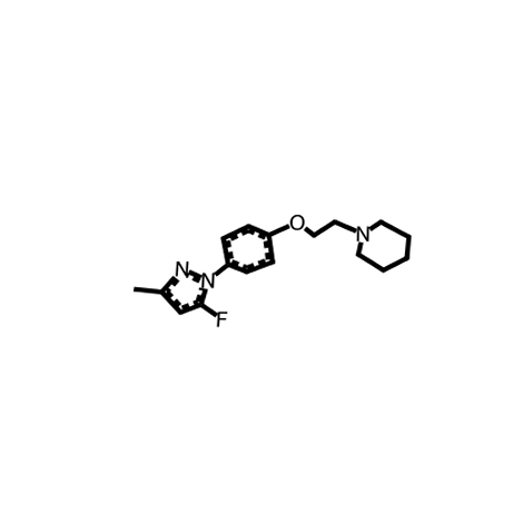 Cc1cc(F)n(-c2ccc(OCCN3CCCCC3)cc2)n1